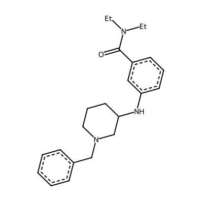 CCN(CC)C(=O)c1cccc(NC2CCCN(Cc3ccccc3)C2)c1